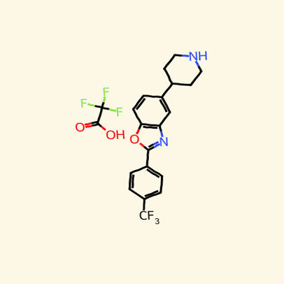 FC(F)(F)c1ccc(-c2nc3cc(C4CCNCC4)ccc3o2)cc1.O=C(O)C(F)(F)F